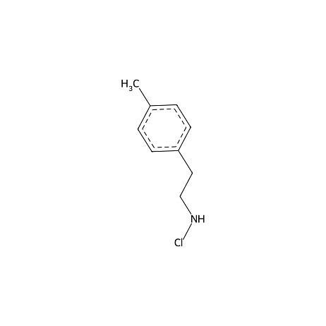 Cc1ccc(CCNCl)cc1